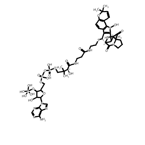 C[C@H]1c2c(c3ccc4c(c3n2O)C=CC(C)(C)O4)C(SCCNC(=O)CCNC(=O)[C@@H](O)C(C)(C)COP(=O)(O)OP(=O)(O)OCC2OC(n3cnc4c(N)ncnc43)C(O)C2OP(O)(O)(O)O)[C@@]23NC4(C(=O)C45CCCN5C2=O)C13